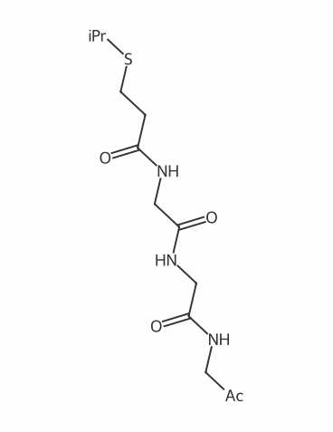 CC(=O)CNC(=O)CNC(=O)CNC(=O)CCSC(C)C